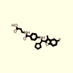 Cc1c(C(Nc2ccc(C(=O)NCCC(=O)O)cc2)C2CCCC2)oc2ccc(F)cc12